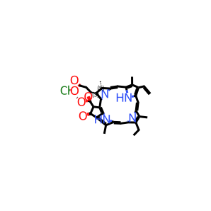 C=Cc1c(C)c2cc3nc(c4c5[nH]c(cc6nc(cc1[nH]2)C(C)=C6CC)c(C)c5C(=O)C4C(=O)OC)[C@@H](CCC(=O)OCl)[C@@H]3C